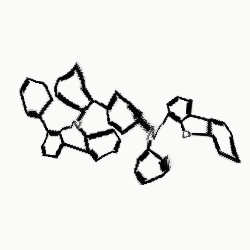 C1=CCCC(c2cccc3c4ccccc4n(-c4ccccc4-c4ccc(N(c5ccccc5)c5cccc6c5oc5ccccc56)cc4)c23)=C1